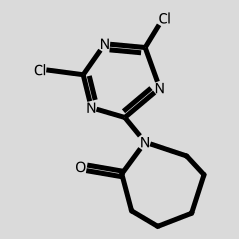 O=C1CCCCCN1c1nc(Cl)nc(Cl)n1